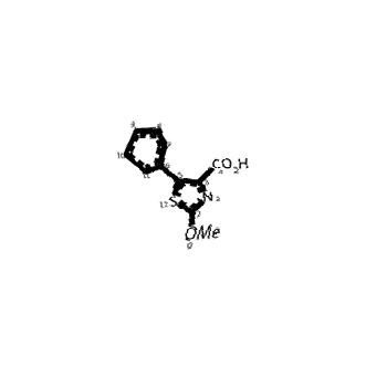 COc1nc(C(=O)O)c(-c2ccccc2)s1